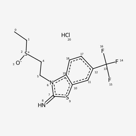 CC[S+]([O-])CCn1c(=N)sc2cc(C(F)(F)F)ccc21.Cl